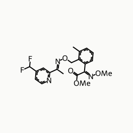 CO/N=C(/C(=O)OC)c1cccc(C)c1CO/N=C(\C)c1cc(C(F)F)ccn1